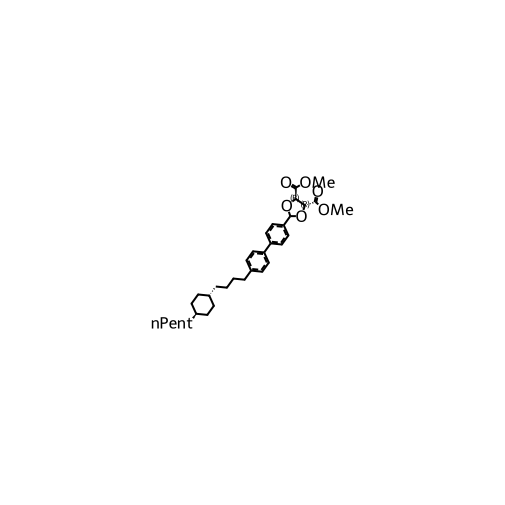 CCCCC[C@H]1CC[C@H](CCCCc2ccc(-c3ccc(C4O[C@@H](C(=O)OC)[C@H](C(=O)OC)O4)cc3)cc2)CC1